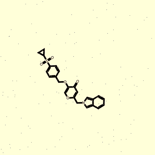 O=c1cc(Cn2cc3ccccc3c2)occ1OCc1ccc(S(=O)(=O)C2CC2)cc1